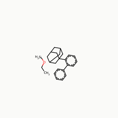 CCO[SiH3].c1ccc(-c2ccccc2C23CC4CC(CC(C4)C2)C3)cc1